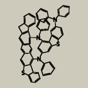 c1ccc(N(c2ccccc2)c2ccc3sc4cc(N(c5ccccc5)c5c6ccccc6cc6sc7ccccc7c56)cc(N(c5ccccc5)c5cccc6c5-c5ccccc5C6)c4c3c2)cc1